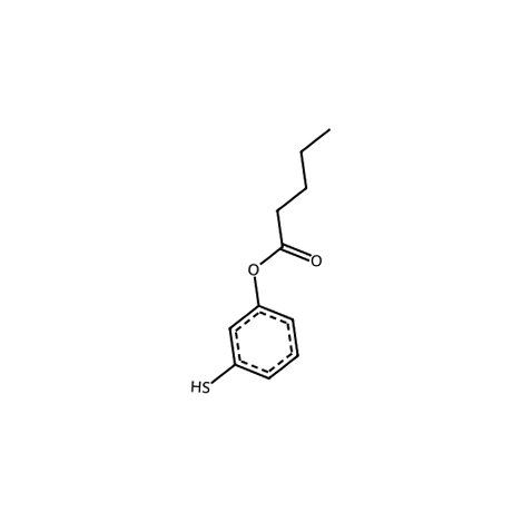 CCCCC(=O)Oc1cccc(S)c1